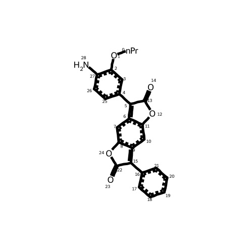 CCCOc1cc(C2=c3cc4c(cc3OC2=O)=C(c2ccccc2)C(=O)O4)ccc1N